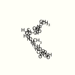 C[C@H]1CN([C@H]2CCN3c4ccc5c(c4OC[C@@H]3C2)C(=O)N(C2CCC(=O)NC2=O)C5=O)CCN1c1ccc(Nc2cc(-c3ccnc(N4CCn5c(cc6c5CC(C)(C)C6)C4=O)c3CO)cn(C)c2=O)nc1